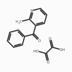 Cc1ncccc1C(=O)c1ccccc1.O=C(O)C(=O)O